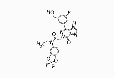 CCN(C(=O)Cn1nc(-c2cc(F)cc(CO)c2)c2[nH]cnc2c1=O)c1ccc2c(c1)OC(F)(F)O2